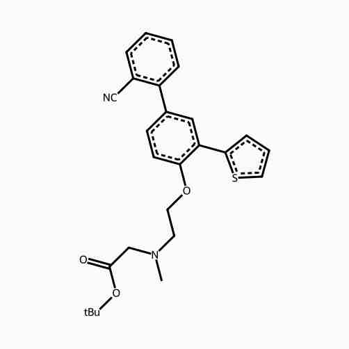 CN(CCOc1ccc(-c2ccccc2C#N)cc1-c1cccs1)CC(=O)OC(C)(C)C